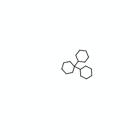 [CH]1CCC(C2CCCCC2)(C2CCCCC2)CC1